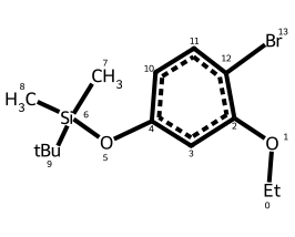 CCOc1cc(O[Si](C)(C)C(C)(C)C)ccc1Br